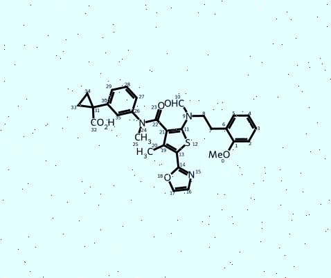 COc1ccccc1CCN(C=O)c1sc(-c2ncco2)c(C)c1C(=O)N(C)c1cccc(C2(C(=O)O)CC2)c1